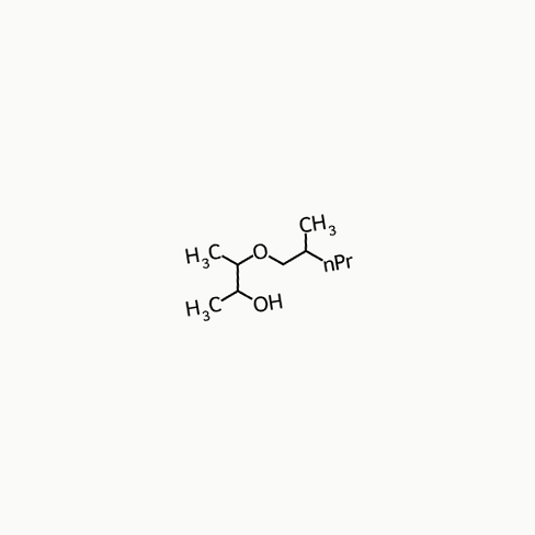 CCCC(C)COC(C)C(C)O